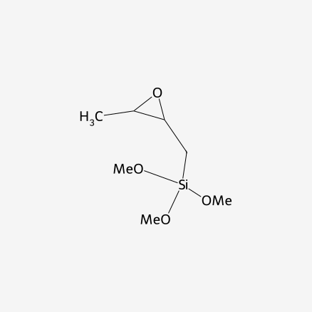 CO[Si](CC1OC1C)(OC)OC